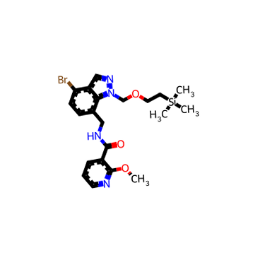 COc1ncccc1C(=O)NCc1ccc(Br)c2cnn(COCC[Si](C)(C)C)c12